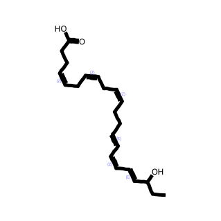 CCC(O)/C=C/C=C\C=C\CC/C=C\C/C=C\C/C=C\CCC(=O)O